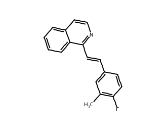 Cc1cc(C=Cc2nccc3ccccc23)ccc1F